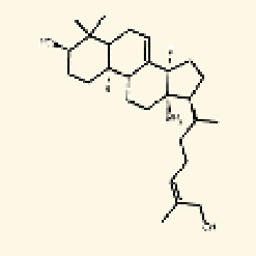 C/C(=C/CCC(C)[C@@H]1CC[C@]2(C)C3=CCC4C(C)(C)[C@H](O)CC[C@]4(C)C3CC[C@@]12N)CO